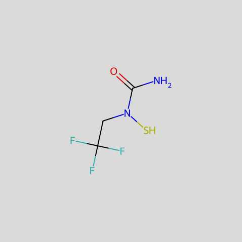 NC(=O)N(S)CC(F)(F)F